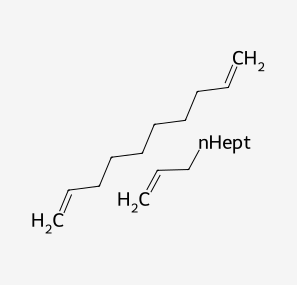 C=CCCCCCCC=C.C=CCCCCCCCC